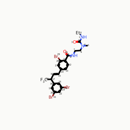 CCNC(=O)N(C)CCNC(=O)c1ccc(/C=C/C(c2cc(Br)cc(Br)c2)C(F)(F)F)cc1Br